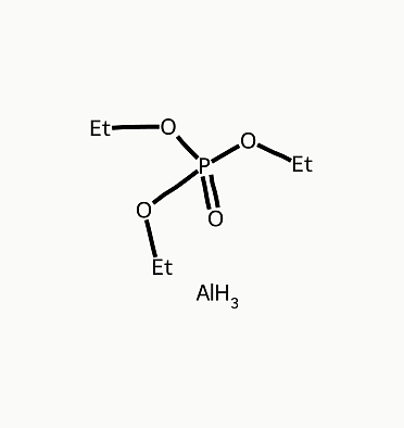 CCOP(=O)(OCC)OCC.[AlH3]